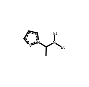 CCN(CC)C(C)n1cccn1